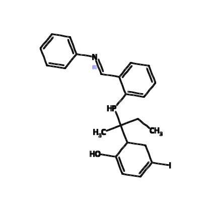 CCC(C)(Pc1ccccc1/C=N/c1ccccc1)C1CC(I)=CC=C1O